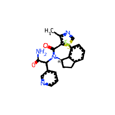 Cc1ncsc1C(=O)N(C(C(N)=O)c1cccnc1)[C@@H]1CCc2cccc(F)c21